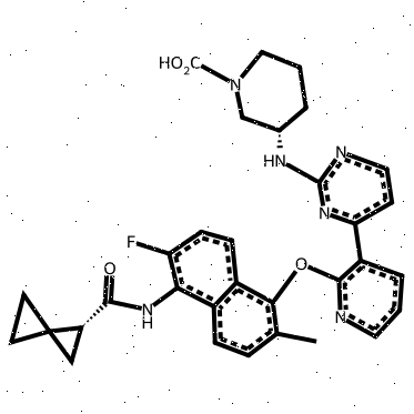 Cc1ccc2c(NC(=O)[C@@H]3CC34CC4)c(F)ccc2c1Oc1ncccc1-c1ccnc(N[C@H]2CCCN(C(=O)O)C2)n1